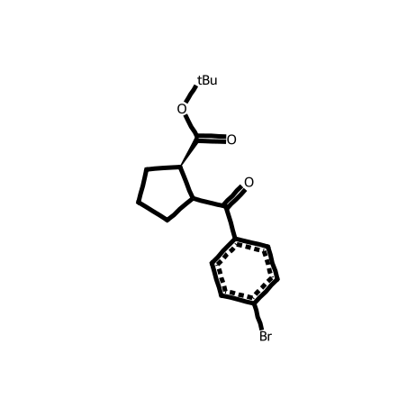 CC(C)(C)OC(=O)[C@@H]1CCCC1C(=O)c1ccc(Br)cc1